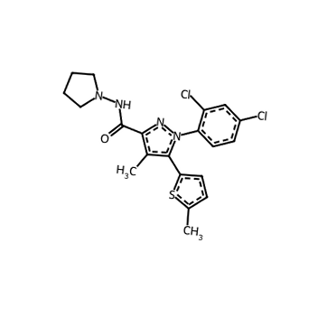 Cc1ccc(-c2c(C)c(C(=O)NN3CCCC3)nn2-c2ccc(Cl)cc2Cl)s1